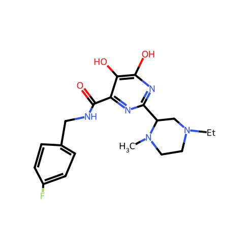 CCN1CCN(C)C(c2nc(O)c(O)c(C(=O)NCc3ccc(F)cc3)n2)C1